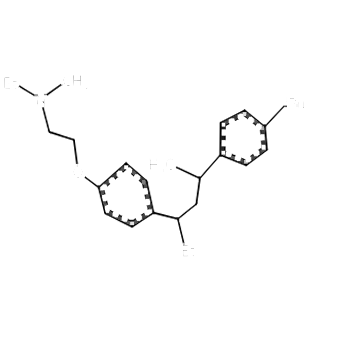 CCC(C)c1ccc(C(C)CC(CC)c2ccc(OCCN(C)CC)cc2)cc1